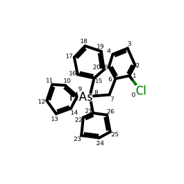 Clc1ccccc1C[AsH](c1ccccc1)(c1ccccc1)c1ccccc1